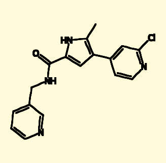 Cc1[nH]c(C(=O)NCc2cccnc2)cc1-c1ccnc(Cl)c1